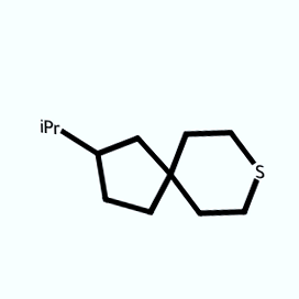 CC(C)C1CCC2(CCSCC2)C1